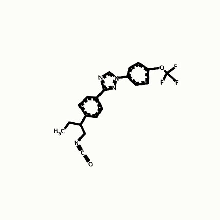 CCC(CN=C=O)c1ccc(-c2ncn(-c3ccc(OC(F)(F)F)cc3)n2)cc1